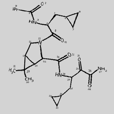 CC(C)C(=O)N[C@@H](CC1CC1)C(=O)N1CC2C(C1C(=O)NC(CC1CC1)C(=O)C(N)=O)C2(C)C